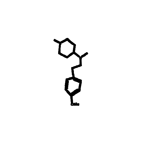 COc1ccc(CCN(C)C2CCN(C)CC2)cc1